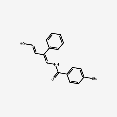 CC(C)(C)c1ccc(C(=O)NN=C(C=NO)c2ccccc2)cc1